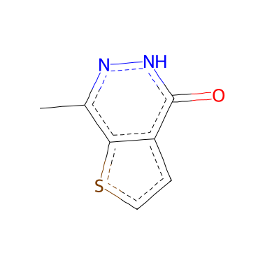 Cc1n[nH]c(=O)c2ccsc12